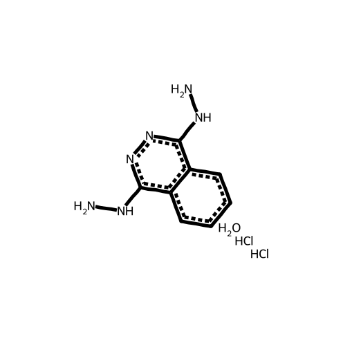 Cl.Cl.NNc1nnc(NN)c2ccccc12.O